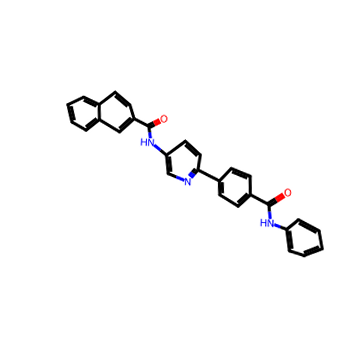 O=C(Nc1ccccc1)c1ccc(-c2ccc(NC(=O)c3ccc4ccccc4c3)cn2)cc1